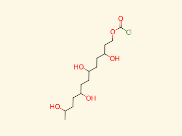 CC(O)CCC(O)CCC(O)CCC(O)CCOC(=O)Cl